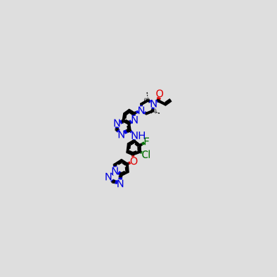 C=CC(=O)N1[C@H](C)CN(c2ccc3ncnc(Nc4ccc(Oc5ccn6ncnc6c5)c(Cl)c4F)c3n2)C[C@@H]1C